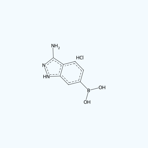 Cl.Nc1n[nH]c2cc(B(O)O)ccc12